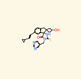 O=C1N(Cc2cncnc2)C(=S)NC12c1cc(C#CC3CC3)ccc1CC21CCC(O)CC1